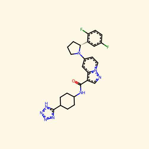 O=C(NC1CCC(c2nnn[nH]2)CC1)c1cnn2ccc(N3CCC[C@@H]3c3cc(F)ccc3F)cc12